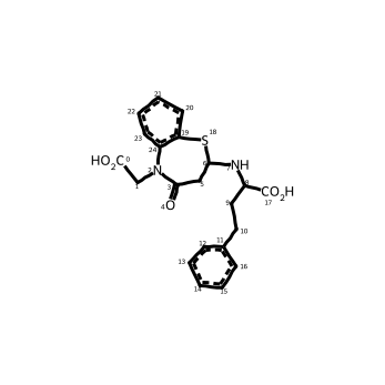 O=C(O)CN1C(=O)CC(NC(CCc2ccccc2)C(=O)O)Sc2ccccc21